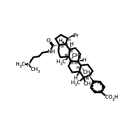 CC(C)[C@@H]1CC[C@]2(C(=O)NCCCN(C)C)CC[C@]3(C)[C@H](CC[C@@H]4[C@@]5(C)CC[C@@H](c6ccc(C(=O)O)cc6)C(C)(C)[C@@H]5CC[C@]43C)[C@@H]12